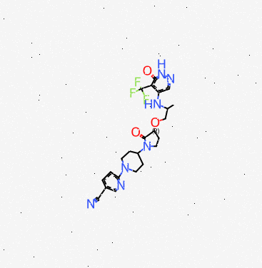 CC(CO[C@@H]1CCN(C2CCN(c3ccc(C#N)cn3)CC2)C1=O)Nc1cn[nH]c(=O)c1C(F)(F)F